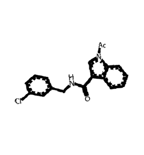 CC(=O)n1cc(C(=O)NCc2cccc(Cl)c2)c2ccccc21